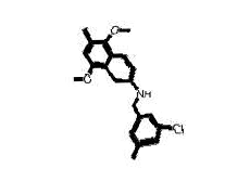 COc1cc(C)c(OC)c2c1CC(NCc1cc(C)cc(Cl)c1)CC2